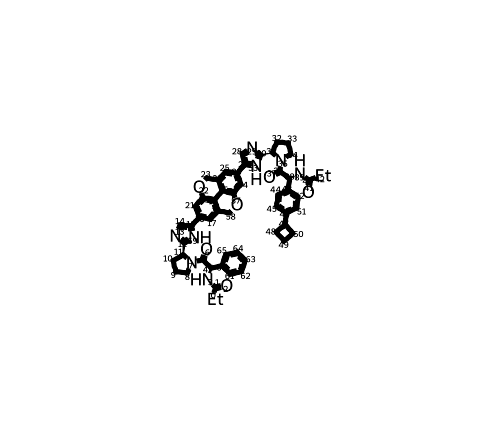 CCC(=O)N[C@@H](C(=O)N1CCC[C@H]1c1ncc(-c2cc3c4c(c2)OCc2cc(-c5cnc([C@@H]6CCCN6C(=O)[C@H](NC(=O)CC)c6ccc(C7CCC7)cc6)[nH]5)cc(c2-4)OC3)[nH]1)c1ccccc1